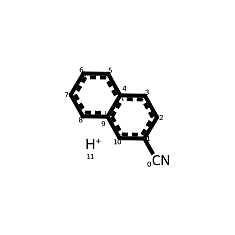 N#Cc1ccc2ccccc2c1.[H+]